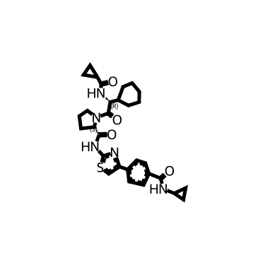 O=C(NC1CC1)c1ccc(-c2csc(NC(=O)[C@@H]3CCCN3C(=O)[C@H](NC(=O)C3CC3)C3CCCCC3)n2)cc1